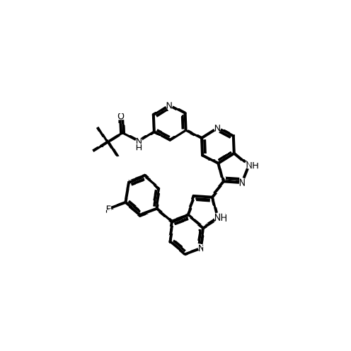 CC(C)(C)C(=O)Nc1cncc(-c2cc3c(-c4cc5c(-c6cccc(F)c6)ccnc5[nH]4)n[nH]c3cn2)c1